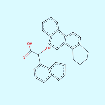 O=C(O)C(O)c1cccc2ccccc12.c1ccc2c(c1)ccc1c3c(ccc12)CCCC3